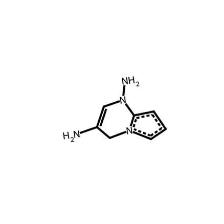 NC1=CN(N)c2cccn2C1